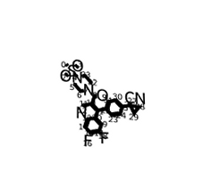 CS(=O)(=O)N1CCN(C(=O)c2cnc3cc(F)c(F)cc3c2-c2ccc(C3(C#N)CC3)cc2)CC1